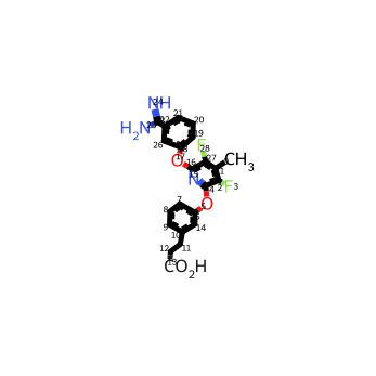 Cc1c(F)c(Oc2cccc(CCC(=O)O)c2)nc(Oc2cccc(C(=N)N)c2)c1F